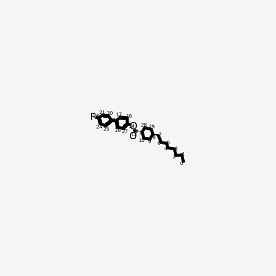 CCCCCCCC[C@H]1CC[C@H](C(=O)Oc2ccc(-c3ccc(F)cc3)cc2)CC1